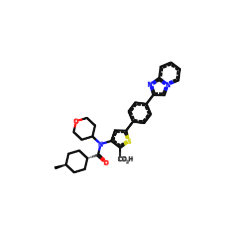 C[C@H]1CC[C@H](C(=O)N(c2cc(-c3ccc(-c4cn5ccccc5n4)cc3)sc2C(=O)O)C2CCOCC2)CC1